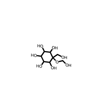 OCOC1(CO)C(O)C(O)C(O)C(O)C1O